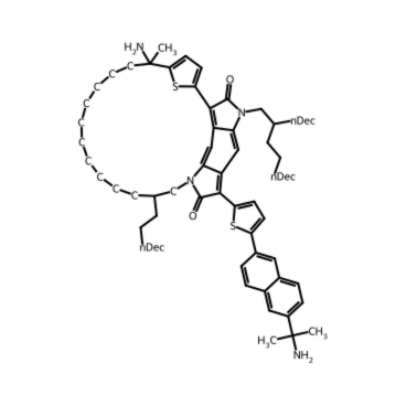 CCCCCCCCCCCCC1CCCCCCCCCCC(C)(N)c2ccc(s2)C2=c3cc4c(cc3N(CC(CCCCCCCCCC)CCCCCCCCCCCC)C2=O)=C(c2ccc(-c3ccc5cc(C(C)(C)N)ccc5c3)s2)C(=O)N4C1